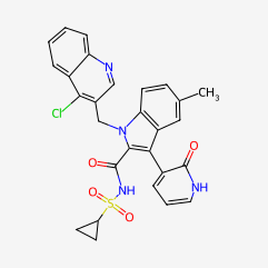 Cc1ccc2c(c1)c(-c1ccc[nH]c1=O)c(C(=O)NS(=O)(=O)C1CC1)n2Cc1cnc2ccccc2c1Cl